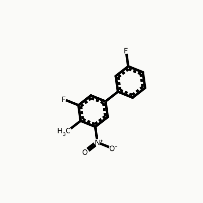 Cc1c(F)cc(-c2cccc(F)c2)cc1[N+](=O)[O-]